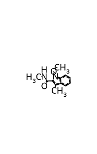 CNC(=O)c1c(C)c2ccccc2n1OC